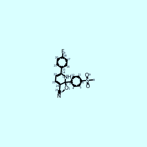 COC1(c2ccc(S(C)(=O)=O)cc2)NC(c2ccc(F)cc2)=CC=C1C#N